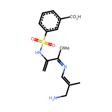 C=C(NS(=O)(=O)c1cccc(C(=O)O)c1)/C(=N\C=C(/C)CN)OC